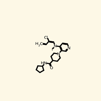 C=C/C(Cl)=C\N(I)c1ccncc1N1CCC(C(=O)NC2CCCC2)CC1